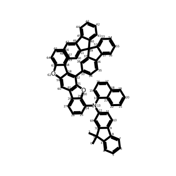 CC1(C)c2ccccc2-c2ccc(N(c3cccc4ccccc34)c3cccc4c3oc3c(-c5ccc6c(c5)C5(c7ccccc7-c7ccccc75)c5ccccc5-6)c5c(cc34)oc3ccccc35)cc21